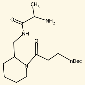 CCCCCCCCCCCCC(=O)N1CCCCC1CNC(=O)C(C)N